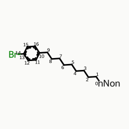 CCCCCCCCCCCCCCCCCCc1ccc(Br)cc1